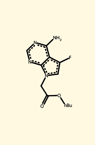 CCCCOC(=O)Cn1cc(F)c2c(N)ncnc21